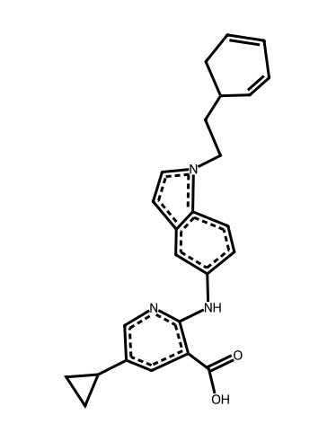 O=C(O)c1cc(C2CC2)cnc1Nc1ccc2c(ccn2CCC2C=CC=CC2)c1